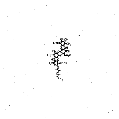 CC(=O)N[C@H]1C(O)[C@H](O)C(C)O[C@H]1O[C@H]1C(O)[C@H](O)C(C(=O)O)O[C@H]1OC1[C@H](O)C(C)O[C@@H](OC2[C@@H](O)C(C)O[C@@H](OCCOCCN)[C@H]2NC(C)=O)[C@H]1NC(C)=O